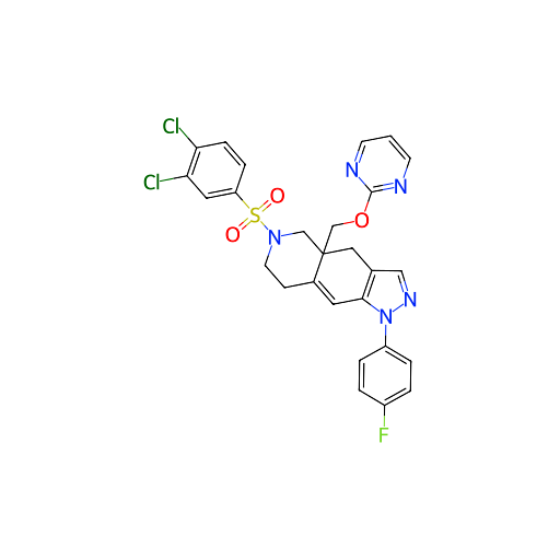 O=S(=O)(c1ccc(Cl)c(Cl)c1)N1CCC2=Cc3c(cnn3-c3ccc(F)cc3)CC2(COc2ncccn2)C1